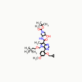 COc1ccc(-c2ncnc3c(C(=O)N[C@@H]4CN(C(=O)OC(C)(C)C)C[C@H]4O)c(C)n(COCC[Si](C)(C)C)c23)c(OCC2CC2)c1